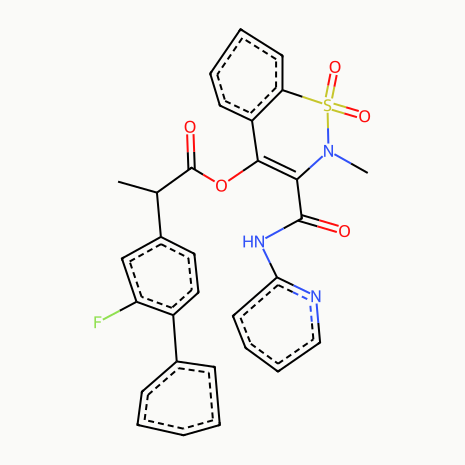 CC(C(=O)OC1=C(C(=O)Nc2ccccn2)N(C)S(=O)(=O)c2ccccc21)c1ccc(-c2ccccc2)c(F)c1